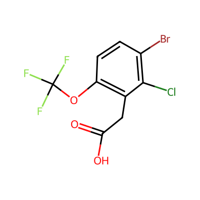 O=C(O)Cc1c(OC(F)(F)F)ccc(Br)c1Cl